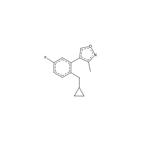 Cc1nocc1-c1cc(F)ccc1CC1CC1